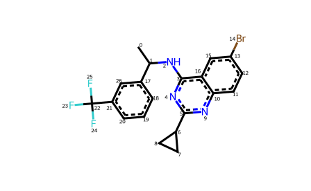 CC(Nc1nc(C2CC2)nc2ccc(Br)cc12)c1cccc(C(F)(F)F)c1